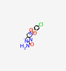 NC(=O)c1n[c]c2c(n1)CN(S(=O)(=O)c1ccc(Cl)cc1)CC2